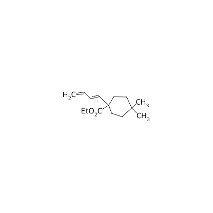 C=C/C=C/C1(C(=O)OCC)CCC(C)(C)CC1